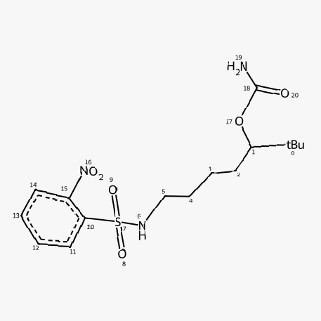 CC(C)(C)C(CCCCNS(=O)(=O)c1ccccc1[N+](=O)[O-])OC(N)=O